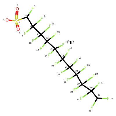 O=S(=O)([O-])C(F)C(F)(F)C(F)(F)C(F)(F)C(F)(F)C(F)(F)C(F)(F)C(F)(F)C(F)(F)C(F)(F)C(F)F.[K+]